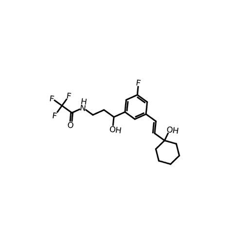 O=C(NCCC(O)c1cc(F)cc(/C=C/C2(O)CCCCC2)c1)C(F)(F)F